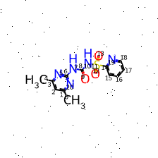 Cc1cc(C)nc(NC(=O)NS(=O)(=O)c2ccccn2)n1